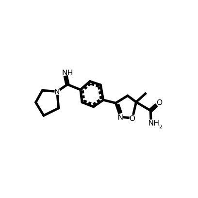 CC1(C(N)=O)CC(c2ccc(C(=N)N3CCCC3)cc2)=NO1